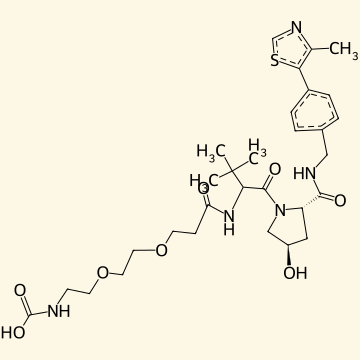 Cc1ncsc1-c1ccc(CNC(=O)[C@@H]2C[C@@H](O)CN2C(=O)C(NC(=O)CCOCCOCCNC(=O)O)C(C)(C)C)cc1